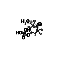 CC1(C)CC(OP(=O)(O)O)CC(C)(C)N1[O].O